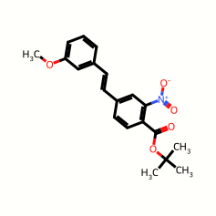 COc1cccc(/C=C/c2ccc(C(=O)OC(C)(C)C)c([N+](=O)[O-])c2)c1